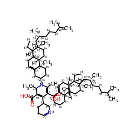 CC1=C(C(=O)O)C(C2CCC=NC2[C@H]2CC[C@@]3(C)C(=CC[C@H]4[C@@H]5CC[C@H]([C@H](C)CCCC(C)C)[C@@]5(C)CC[C@@H]43)C2)=C(C(=O)O)C(C)N1[C@H]1CC[C@@]2(C)C(=CC[C@H]3[C@@H]4CC[C@H]([C@H](C)CCCC(C)C)[C@@]4(C)CC[C@@H]32)C1